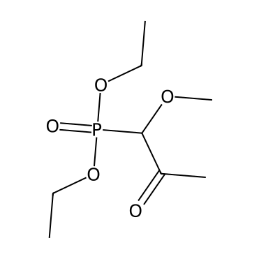 CCOP(=O)(OCC)C(OC)C(C)=O